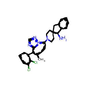 Cc1cc(N2CCC3(CC2)Cc2ccccc2[C@H]3N)n2ncnc2c1-c1cccc(Cl)c1Cl